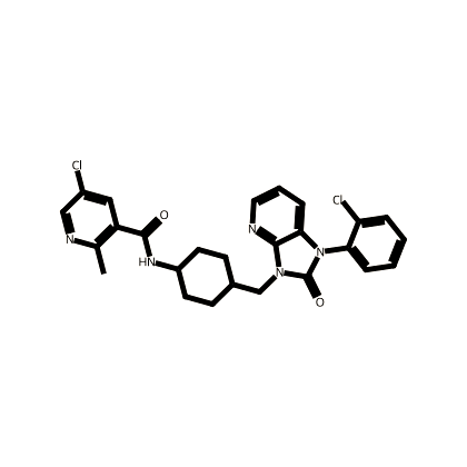 Cc1ncc(Cl)cc1C(=O)NC1CCC(Cn2c(=O)n(-c3ccccc3Cl)c3cccnc32)CC1